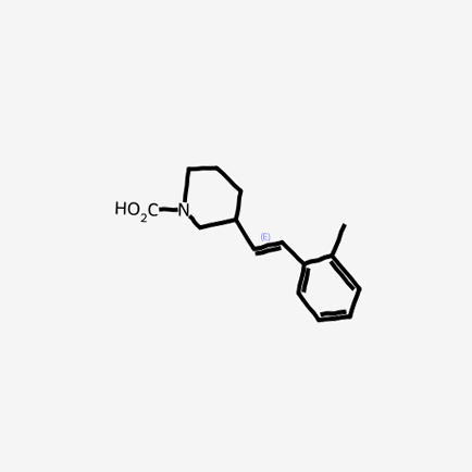 Cc1ccccc1/C=C/C1CCCN(C(=O)O)C1